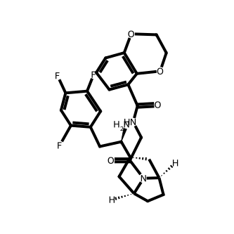 N[C@H](Cc1cc(F)c(F)cc1F)[C@@H]1C[C@H]2CC[C@@H](C1)N2C(=O)CNC(=O)c1cccc2c1OCCO2